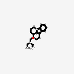 CCN(C=O)CCC12CCCn3c1c(c1ccccc13)CCO2